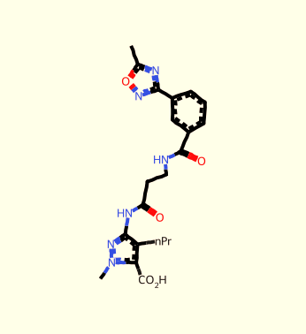 CCCc1c(NC(=O)CCNC(=O)c2cccc(-c3noc(C)n3)c2)nn(C)c1C(=O)O